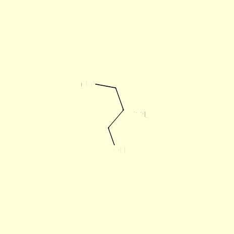 CCCC[C@H](CC)CO